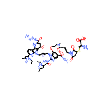 CCn1nc(C)cc1C(=O)Nc1nc2cc(C(N)=O)cc(OCCCN(C)C(=O)CCN3C(=O)CC(SC[C@H](N)C(=O)O)C3=O)c2n1C/C=C/Cn1c2nc(-c3cc(C)nn3CC)ccc2c2nc(C(N)=O)cc(OC)c21